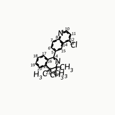 CC1(C)N=C(c2ccc3nccc(Cl)c3c2)c2ccccc2C1(C)C